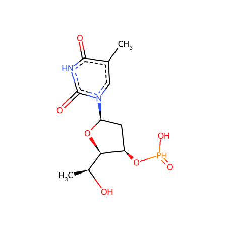 Cc1cn([C@H]2C[C@@H](O[PH](=O)O)[C@@H]([C@H](C)O)O2)c(=O)[nH]c1=O